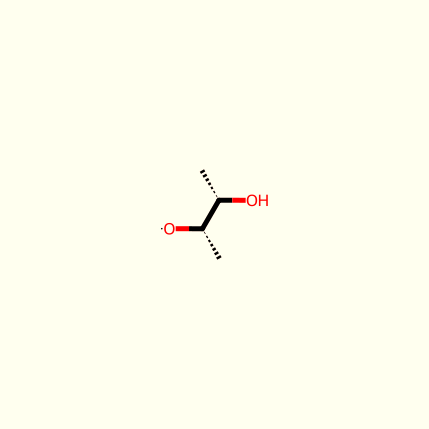 C[C@H]([O])[C@H](C)O